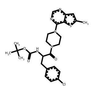 Cc1cc2ncnc(N3CCN(C(=O)C(Cc4ccc(Cl)cc4)NC(=O)OC(C)(C)C)CC3)c2s1